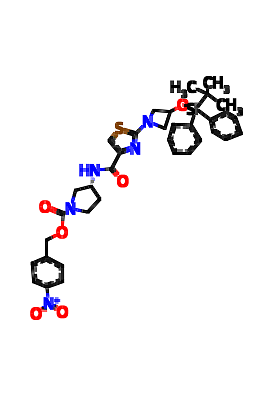 CC(C)(C)[Si](OC1CN(c2nc(C(=O)N[C@@H]3CCN(C(=O)OCc4ccc([N+](=O)[O-])cc4)C3)cs2)C1)(c1ccccc1)c1ccccc1